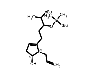 C=CC[C@@H]1C(CCC(O[Si](C)(C)C(C)(C)C)C(C)CCCC)=CC[C@@H]1O